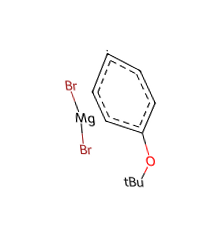 CC(C)(C)Oc1cc[c]cc1.[Br][Mg][Br]